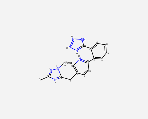 CCCCCn1nc(C)nc1Cc1ccc(-c2ccccc2-c2nnn[nH]2)nc1